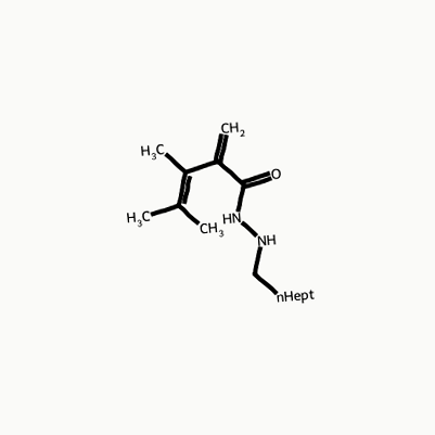 C=C(C(=O)NNCCCCCCCC)C(C)=C(C)C